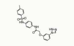 Cc1ccc(S(=O)(=O)Nc2ccc(NC(=O)COc3cccc(-n4cn[nH]4)c3)cc2)cc1